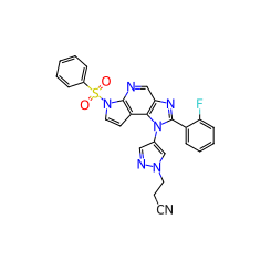 N#CCCn1cc(-n2c(-c3ccccc3F)nc3cnc4c(ccn4S(=O)(=O)c4ccccc4)c32)cn1